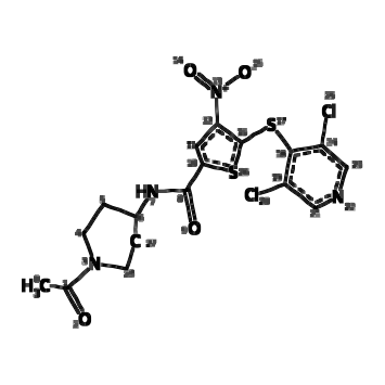 CC(=O)N1CCC(NC(=O)c2cc([N+](=O)[O-])c(Sc3c(Cl)cncc3Cl)s2)CC1